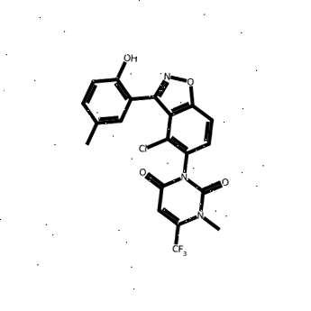 Cc1ccc(O)c(-c2noc3ccc(-n4c(=O)cc(C(F)(F)F)n(C)c4=O)c(Cl)c23)c1